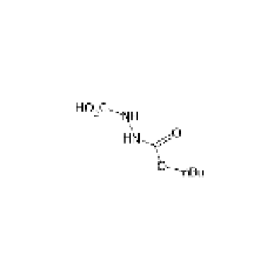 CCCCOC(=O)NNC(=O)O